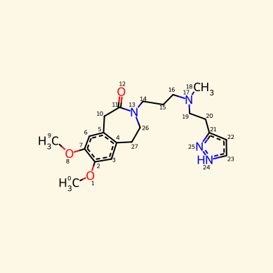 COc1cc2c(cc1OC)CC(=O)N(CCCN(C)CCc1cc[nH]n1)CC2